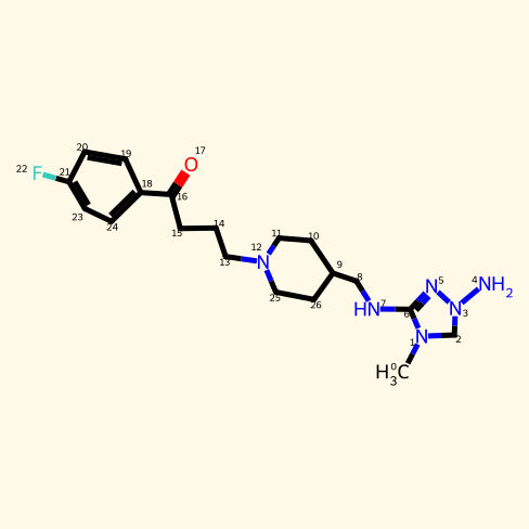 CN1CN(N)N=C1NCC1CCN(CCCC(=O)c2ccc(F)cc2)CC1